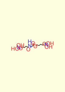 O=C(CCCON(O)O)NCC(=O)OCCCCON(O)O